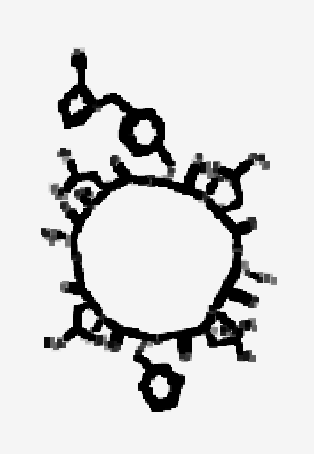 CC(C)C[C@H]1C(=O)O[C@H](Cc2ccc(Cn3cccc3C#N)cc2)C(=O)N(C)[C@@H](CC(C)C)C(=O)O[C@H](C)C(=O)N(C)[C@@H](CC(C)C)C(=O)O[C@H](Cc2ccccc2)C(=O)N(C)[C@@H](CC(C)C)C(=O)O[C@H](C)C(=O)N1C